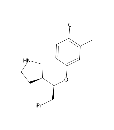 Cc1cc(O[C@@H](CC(C)C)[C@H]2CCNC2)ccc1Cl